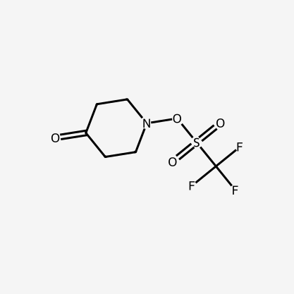 O=C1CCN(OS(=O)(=O)C(F)(F)F)CC1